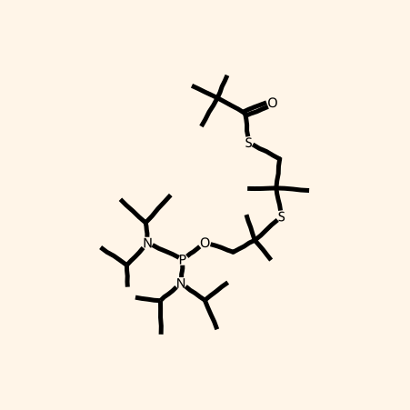 CC(C)N(C(C)C)P(OCC(C)(C)SC(C)(C)CSC(=O)C(C)(C)C)N(C(C)C)C(C)C